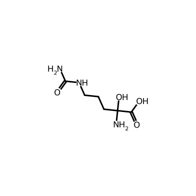 NC(=O)NCCCC(N)(O)C(=O)O